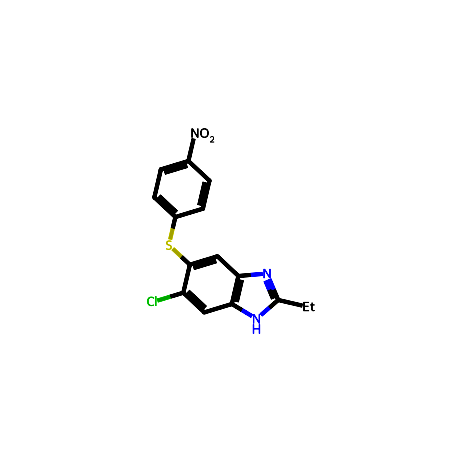 CCc1nc2cc(Sc3ccc([N+](=O)[O-])cc3)c(Cl)cc2[nH]1